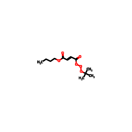 CCCCOC(=O)C=CC(=O)OOOC(C)(C)C